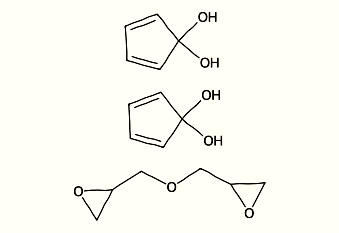 C(OCC1CO1)C1CO1.OC1(O)C=CC=C1.OC1(O)C=CC=C1